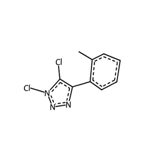 Cc1ccccc1-c1nnn(Cl)c1Cl